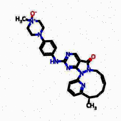 C[C@@H]1CC/C=C\Cn2c(=O)c3cnc(Nc4ccc(N5CC[N+](C)([O-])CC5)cc4)nc3n2-c2cccc1n2